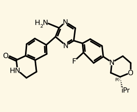 CC(C)[C@@H]1CN(c2ccc(-c3cnc(N)c(-c4ccc5c(c4)CCNC5=O)n3)c(F)c2)CCO1